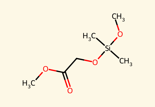 COC(=O)CO[Si](C)(C)OC